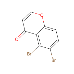 O=c1ccoc2ccc(Br)c(Br)c12